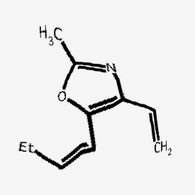 C=Cc1nc(C)oc1/C=C\CC